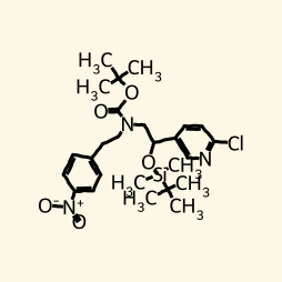 CC(C)(C)OC(=O)N(CCc1ccc([N+](=O)[O-])cc1)CC(O[Si](C)(C)C(C)(C)C)c1ccc(Cl)nc1